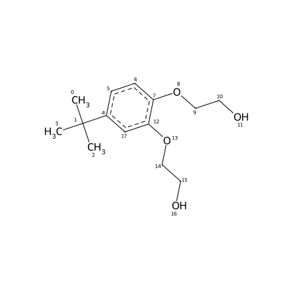 CC(C)(C)c1ccc(OCCO)c(OCCO)c1